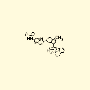 Cn1cc(C(=O)N[C@]2(C)CCCc3ccccc32)c2cc(-c3ccc4nc(NC(=O)C5CC5)cn4n3)ccc21